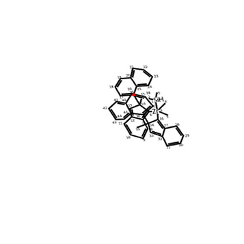 C[SiH](C)[Zr]([CH3])([CH3])([C]1=c2ccccc2=CC1(C)c1cccc2ccccc12)[C]1=c2ccccc2=CC1(C)c1cccc2ccccc12